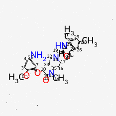 COc1ccc(N)cc1OCC(=O)N(C)C1CCN(CC(=O)Nc2c(C)cc(C)cc2C)CC1